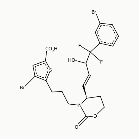 O=C(O)c1cc(Br)c(CCCN2C(=O)OCC[C@@H]2C=CC(O)C(F)(F)c2cccc(Br)c2)s1